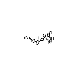 Cc1cc(CNC(=O)N2CCN(CCC(C)(C)C)CC2)ccc1C(=O)N1Cc2cnn(C)c2Nc2cc(Cl)ccc21